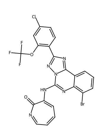 O=c1nccccc1Nc1nc2c(Br)cccc2c2nc(-c3ccc(Cl)cc3OC(F)(F)F)nn12